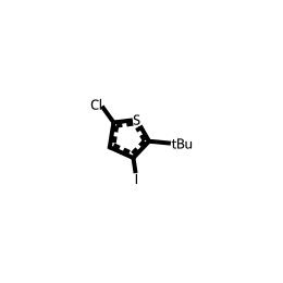 CC(C)(C)c1sc(Cl)cc1I